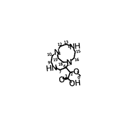 COC(C(=O)O)C1CNCC[N@@]2CCNCCN1CC2